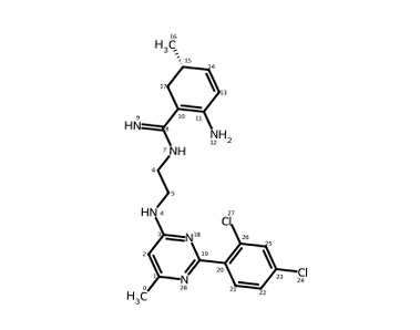 Cc1cc(NCCNC(=N)C2=C(N)C=C[C@@H](C)C2)nc(-c2ccc(Cl)cc2Cl)n1